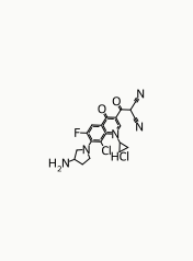 Cl.N#CC(C#N)C(=O)c1cn(C2CC2)c2c(Cl)c(N3CCC(N)C3)c(F)cc2c1=O